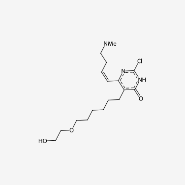 CNCC/C=C\c1nc(Cl)[nH]c(=O)c1CCCCCCOCCO